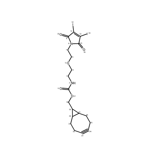 O=C(NCCOCCN1C(=O)C(I)=C(I)C1=O)OCC1C2CCC#CCCC21